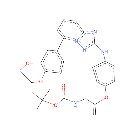 C=C(CNC(=O)OC(C)(C)C)Oc1ccc(Nc2nc3cccc(-c4ccc5c(c4)OCCO5)n3n2)cc1